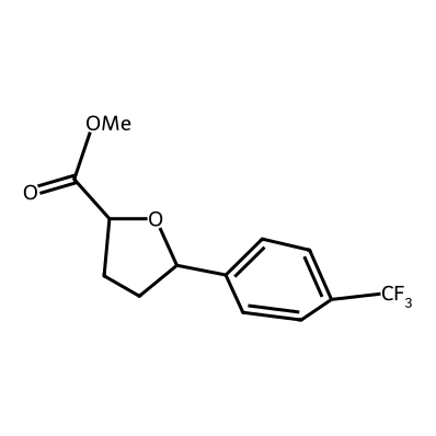 COC(=O)C1CCC(c2ccc(C(F)(F)F)cc2)O1